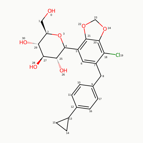 OC[C@H]1OC(c2cc(Cc3ccc(C4CC4)cc3)c(Cl)c3c2OCO3)[C@H](O)[C@@H](O)[C@@H]1O